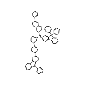 c1ccc(-c2ccc3cc(N(c4cccc(-c5ccc(-c6ccc7c(c6)c6ccccc6n7-c6ccccc6)cc5)c4)c4ccc5c(c4)C(c4ccccc4)(c4ccccc4)c4ccccc4-5)ccc3c2)cc1